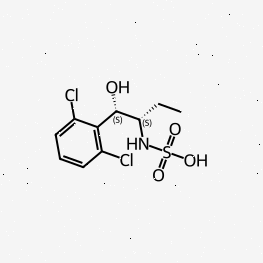 CC[C@H](NS(=O)(=O)O)[C@@H](O)c1c(Cl)cccc1Cl